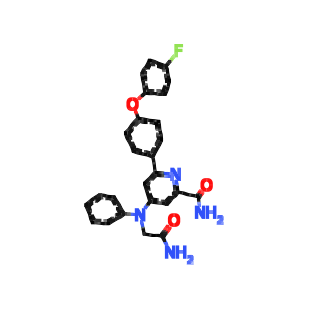 NC(=O)CN(c1ccccc1)c1cc(C(N)=O)nc(-c2ccc(Oc3ccc(F)cc3)cc2)c1